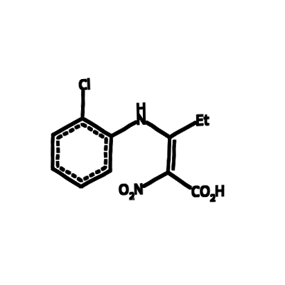 CCC(Nc1ccccc1Cl)=C(C(=O)O)[N+](=O)[O-]